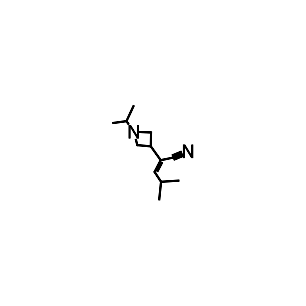 CC(C)/C=C(\C#N)C1CN(C(C)C)C1